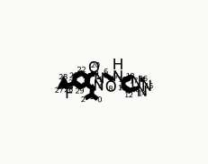 CC(C)c1nn(CC(=O)Nc2ccc3nncn3c2)c(=O)c2ccc(C3(F)CC3)cc12